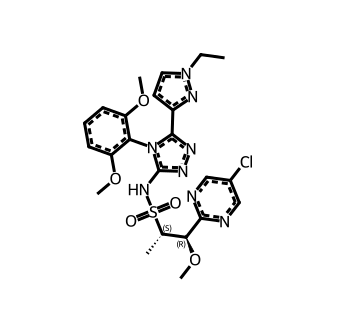 CCn1ccc(-c2nnc(NS(=O)(=O)[C@@H](C)[C@H](OC)c3ncc(Cl)cn3)n2-c2c(OC)cccc2OC)n1